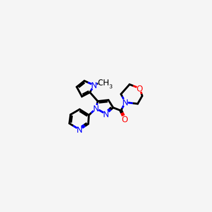 Cn1cccc1-c1cc(C(=O)N2CCOCC2)nn1-c1cccnc1